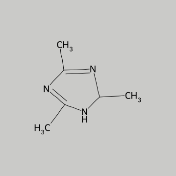 CC1=NC(C)NC(C)=N1